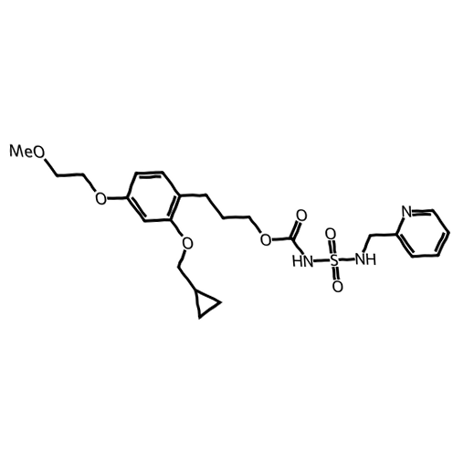 COCCOc1ccc(CCCOC(=O)NS(=O)(=O)NCc2ccccn2)c(OCC2CC2)c1